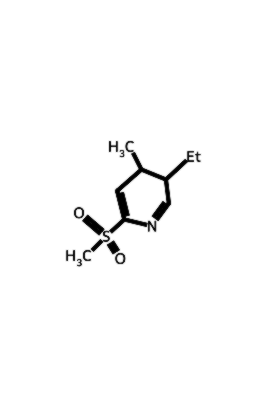 CCC1C=NC(S(C)(=O)=O)=CC1C